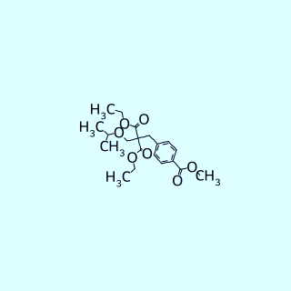 CCOC(=O)C(COC(C)C)(Cc1ccc(C(=O)OC)cc1)C(=O)OCC